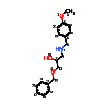 COc1ccc(CNCC(O)COCc2ccccc2)cc1